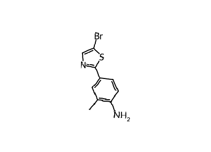 Cc1cc(-c2ncc(Br)s2)ccc1N